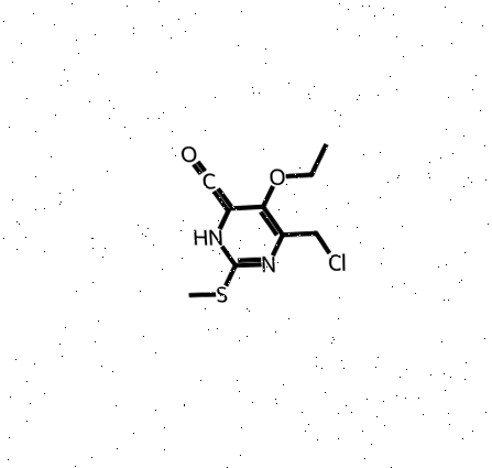 CCOC1=C(CCl)N=C(SC)NC1=C=O